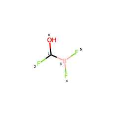 OC(F)B(F)F